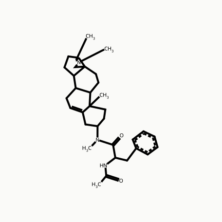 CC(=O)NC(Cc1ccccc1)C(=O)N(C)C1CCC2(C)C(=CCC3C2CCC24CN(C)C(C)C2CCC34)C1